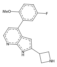 COc1ccc(F)cc1-c1ccnc2[nH]c(C3CNC3)cc12